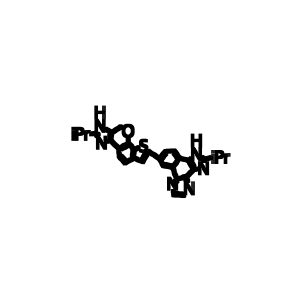 CC(C)c1nc2c([nH]1)COc1c-2ccc2cc(-c3ccc4c(c3)c3nccnc3c3nc(C(C)C)[nH]c43)sc12